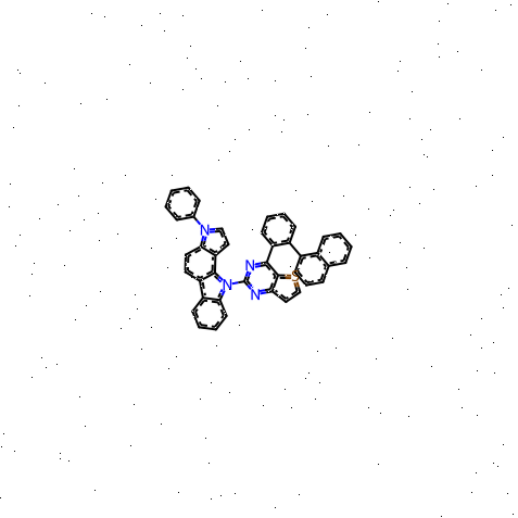 c1ccc(-n2ccc3c2ccc2c4ccccc4n(-c4nc(-c5ccccc5-c5cccc6ccccc56)c5sccc5n4)c23)cc1